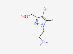 Cc1c(Br)c(CO)nn1CCN(C)C